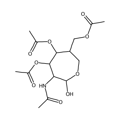 CC(=O)NC1C(O)OCC(COC(C)=O)C(OC(C)=O)C1OC(C)=O